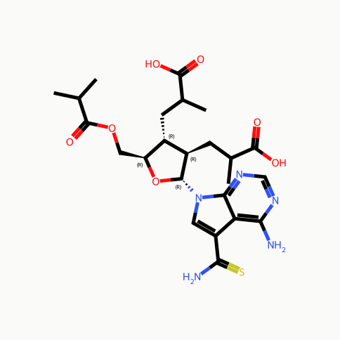 CC(C)C(=O)OC[C@@H]1O[C@@H](n2cc(C(N)=S)c3c(N)ncnc32)[C@H](CC(C)C(=O)O)[C@H]1CC(C)C(=O)O